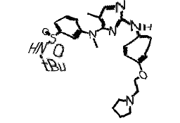 Cc1cnc(Nc2ccc(OCCN3CCCC3)cc2)nc1N(C)c1cccc(S(=O)(=O)NC(C)(C)C)c1